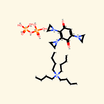 CCCC[N+](CCCC)(CCCC)CCCC.O=C1C=C(N2CC2)C(=O)C(N2CC2)=C1N1CC1.O=P([O-])(O)OP(=O)(O)O